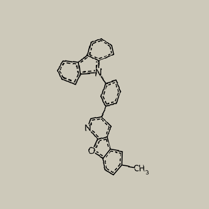 Cc1ccc2oc3ncc(-c4cccc(-n5c6ccccc6c6ccccc65)c4)cc3c2c1